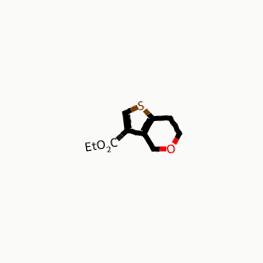 CCOC(=O)c1csc2c1COCC2